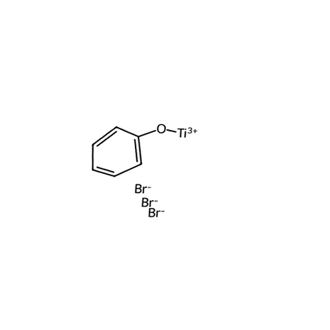 [Br-].[Br-].[Br-].[Ti+3][O]c1ccccc1